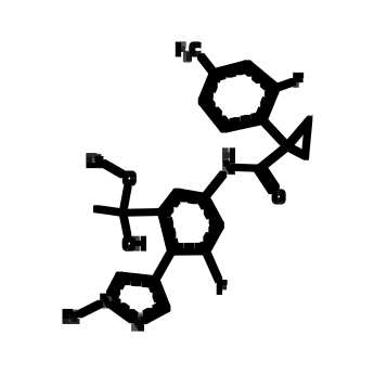 CCOC(C)(O)c1cc(NC(=O)C2(c3ccc(C(F)(F)F)cc3F)CC2)cc(F)c1-c1cnn(CC)c1